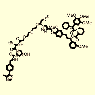 CCOCC(OCCOCCOCC(=O)NC(C(=O)N1C[C@H](O)C[C@@H]1C(=O)NCc1ccc(-c2scnc2C)cc1)C(C)(C)C)n1cc(COc2ccc(CCC(OC(=O)C3CCCCN3C(=O)[C@H](c3cc(OC)c(OC)c(OC)c3)C3CCCCC3)c3cccc(OC)c3)cc2OC)nn1